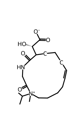 CC(C)[N+]1(C)CCCCC=CCCCC([C@H](O)C(=O)[O-])C(=O)NCC1=O